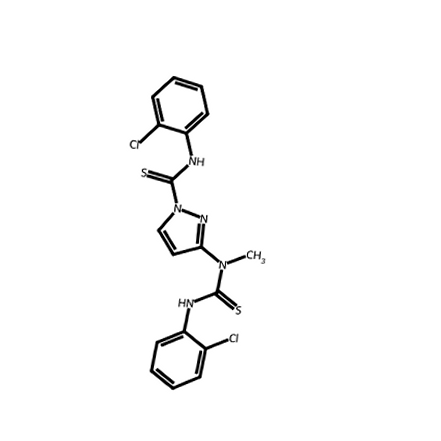 CN(C(=S)Nc1ccccc1Cl)c1ccn(C(=S)Nc2ccccc2Cl)n1